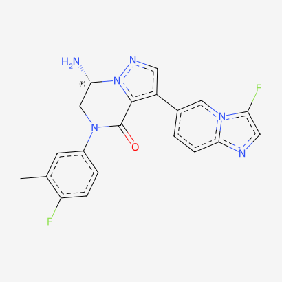 Cc1cc(N2C[C@H](N)n3ncc(-c4ccc5ncc(F)n5c4)c3C2=O)ccc1F